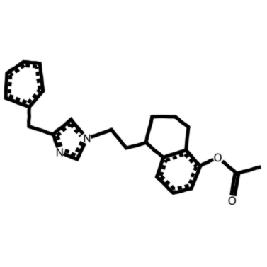 CC(=O)Oc1cccc2c1CCCC2CCn1cnc(Cc2ccccc2)c1